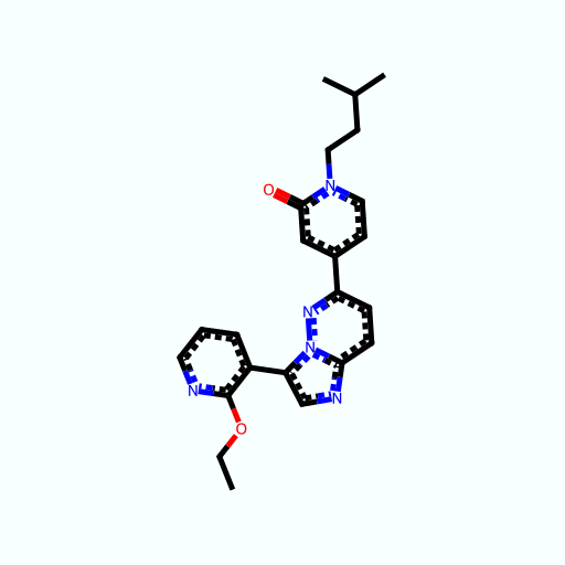 CCOc1ncccc1-c1cnc2ccc(-c3ccn(CCC(C)C)c(=O)c3)nn12